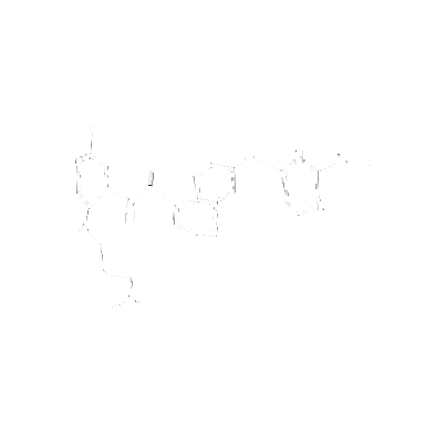 CN(C)CCCN(C)c1ccc(C(F)(F)F)cc1NC(=O)c1cccc2cc(Oc3ccnc(N)n3)ccc12